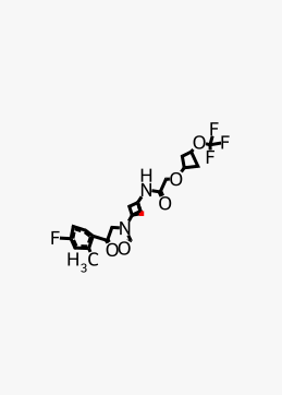 Cc1cc(F)ccc1C(=O)CN(C=O)C12CC(NC(=O)COC3CC(OC(F)(F)F)C3)(C1)C2